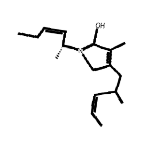 C/C=C\C(C)CC1=C(C)C(O)N([C@H](C)/C=C\CC)C1